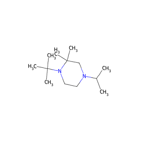 CC(C)N1CCN(C(C)(C)C)C(C)(C)C1